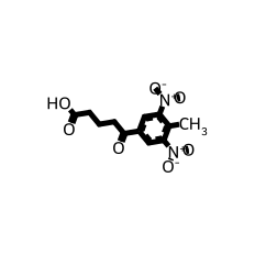 Cc1c([N+](=O)[O-])cc(C(=O)CCCC(=O)O)cc1[N+](=O)[O-]